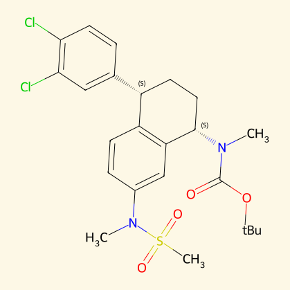 CN(C(=O)OC(C)(C)C)[C@H]1CC[C@@H](c2ccc(Cl)c(Cl)c2)c2ccc(N(C)S(C)(=O)=O)cc21